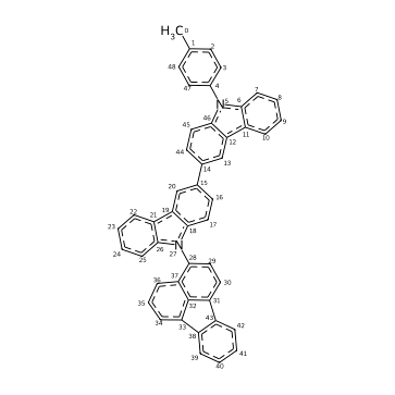 Cc1ccc(-n2c3ccccc3c3cc(-c4ccc5c(c4)c4ccccc4n5-c4ccc5c6c(cccc46)-c4ccccc4-5)ccc32)cc1